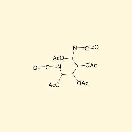 CC(=O)OC(N=C=O)C(OC(C)=O)C(OC(C)=O)C(N=C=O)OC(C)=O